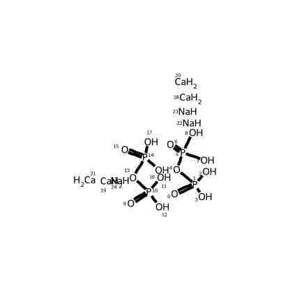 O=P(O)(O)OP(=O)(O)O.O=P(O)(O)OP(=O)(O)O.[CaH2].[CaH2].[CaH2].[CaH2].[NaH].[NaH].[NaH]